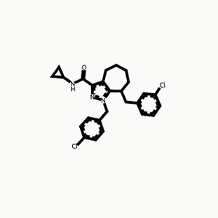 O=C(NC1CC1)c1nn(Cc2ccc(Cl)cc2)c2c1CCCCC2Cc1cccc(Cl)c1